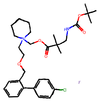 CC(C)(C)OC(=O)NCC(C)(C)C(=O)OC[N+]1(CCOCc2ccccc2-c2ccc(Cl)cc2)CCCCC1.[I-]